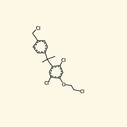 CC(C)(c1ccc(CCl)cc1)c1cc(Cl)c(OCCCl)cc1Cl